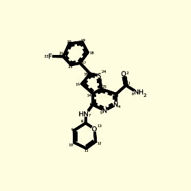 NC(=O)c1nnc(NC2C=CC=CO2)c2cc(-c3cccc(F)c3)sc12